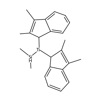 CC1=C(C)[CH]([Ti]([CH]2C(C)=C(C)c3ccccc32)[SiH](C)C)c2ccccc21